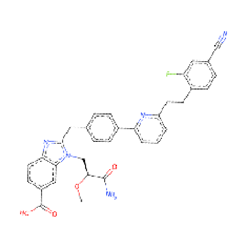 CO[C@@H](Cn1c(Cc2ccc(-c3cccc(CCc4ccc(C#N)cc4F)n3)cc2)nc2ccc(C(=O)O)cc21)C(N)=O